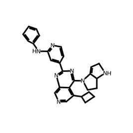 C1=C2C(CCN2c2nc(-c3ccnc(Nc4ccccc4)c3)nc3cncc(C4CCC4)c23)NC1